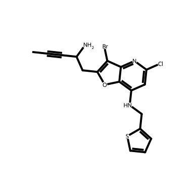 CC#CC(N)Cc1oc2c(NCc3cccs3)cc(Cl)nc2c1Br